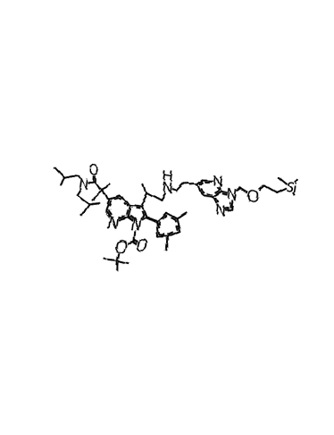 Cc1cc(C)cc(-c2c(C(C)CNCCc3cnc4c(c3)ncn4COCC[Si](C)(C)C)c3cc(C(C)(C)C(=O)N(CC(C)C)CC(C)C)cnc3n2C(=O)OC(C)(C)C)c1